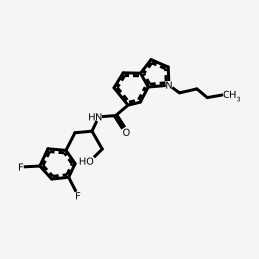 CCCCn1ccc2ccc(C(=O)NC(CO)Cc3cc(F)cc(F)c3)cc21